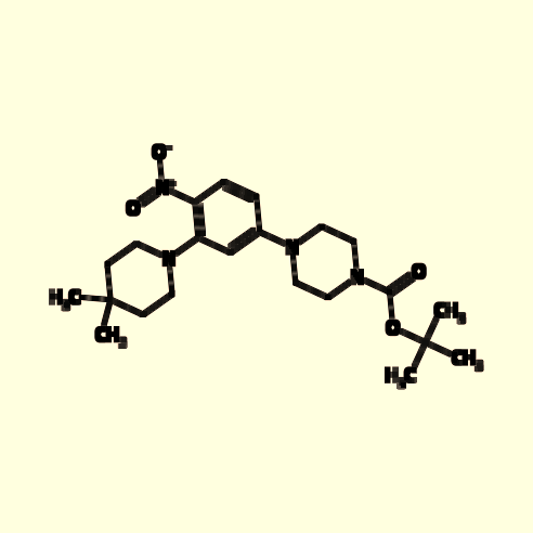 CC1(C)CCN(c2cc(N3CCN(C(=O)OC(C)(C)C)CC3)ccc2[N+](=O)[O-])CC1